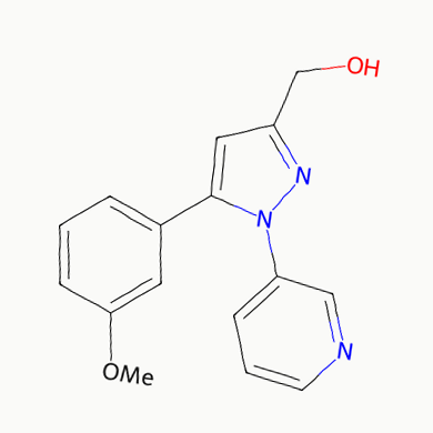 COc1cccc(-c2cc(CO)nn2-c2cccnc2)c1